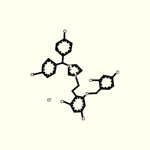 Clc1ccc(C(c2ccc(Cl)cc2)[n+]2ccn(CCc3c(Cl)cc(Cl)cc3OCc3ccc(Cl)cc3Cl)c2)cc1.[Cl-]